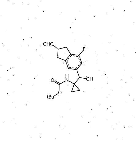 CC(C)(C)OC(=O)NC1(C(O)c2cc(F)c3c(c2)CC(C=O)C3)CC1